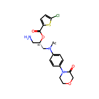 CC(=O)N(C[C@H](CN)OC(=O)c1ccc(Cl)s1)c1ccc(N2CCOCC2=O)cc1